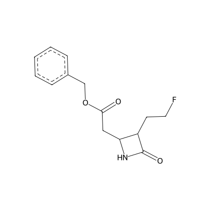 O=C(CC1NC(=O)C1CCF)OCc1ccccc1